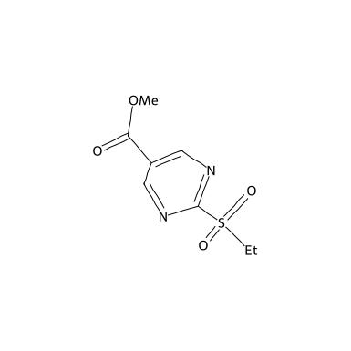 CCS(=O)(=O)c1ncc(C(=O)OC)cn1